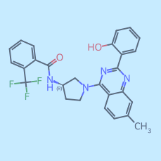 Cc1ccc2c(N3CC[C@@H](NC(=O)c4ccccc4C(F)(F)F)C3)nc(-c3ccccc3O)nc2c1